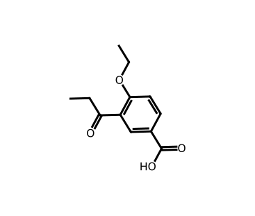 CCOc1ccc(C(=O)O)cc1C(=O)CC